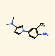 CN(C)c1ccn(-c2ccc(N)c(C(F)(F)F)c2)c1